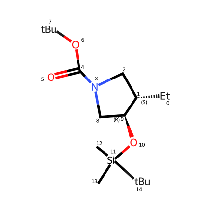 CC[C@H]1CN(C(=O)OC(C)(C)C)C[C@@H]1O[Si](C)(C)C(C)(C)C